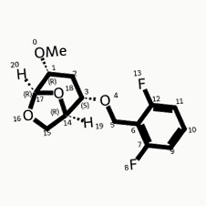 CO[C@@H]1C[C@H](OCc2c(F)cccc2F)[C@H]2CO[C@@H]1O2